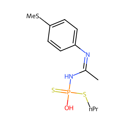 CCCSP(O)(=S)NC(C)=Nc1ccc(SC)cc1